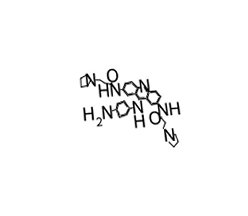 Nc1ccc(Nc2c3cc(NC(=O)CCN4CCCC4)ccc3nc3ccc(NC(=O)CCN4CCCC4)cc23)cc1